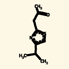 CC(=O)Cc1nc(C(C)C)cs1